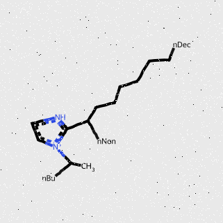 CCCCCCCCCCCCCCCCC(CCCCCCCCC)c1[nH]cc[n+]1C(C)CCCC